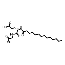 CCCCCCCCCCCCCC(=O)N[C@@H](CCC(=O)O)C(=O)NCC(=O)O